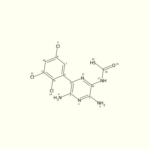 Nc1nc(N)c(-c2cc(Cl)cc(Cl)c2Cl)nc1NC(=O)S